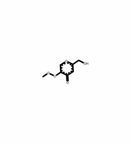 COOc1coc(CO)cc1=O